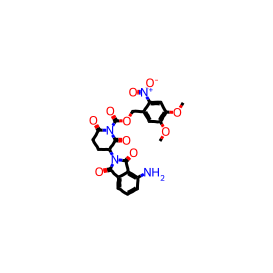 COc1cc(COC(=O)N2C(=O)CCC(N3C(=O)c4cccc(N)c4C3=O)C2=O)c([N+](=O)[O-])cc1OC